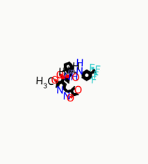 COc1cnc(C2=NOC3COCC23)cc1C(=O)N[C@H]1[C@@H](C(=O)Nc2ccc(F)c(C(F)(F)F)c2)[C@H]2CC[C@@H]1/C2=C\C1CC1